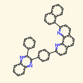 c1ccc(-c2nc3ccccc3nc2-c2ccc(-c3ccc4ccc5ccc(-c6cccc7ccccc67)nc5c4n3)cc2)cc1